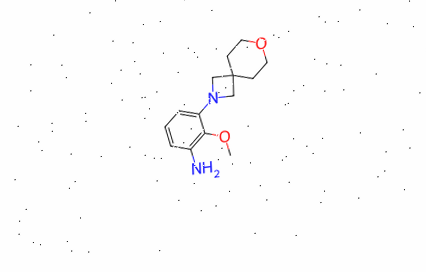 COc1c(N)cccc1N1CC2(CCOCC2)C1